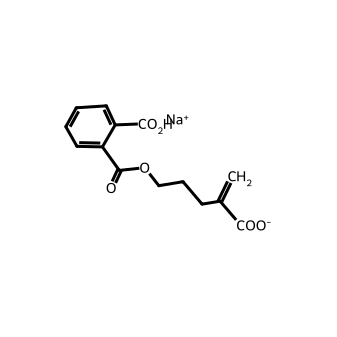 C=C(CCCOC(=O)c1ccccc1C(=O)O)C(=O)[O-].[Na+]